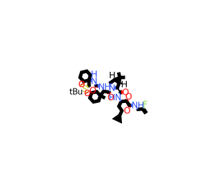 C=C(F)CNC(=O)C(=O)C(CCC1CC1)NC(=O)[C@@H]1[C@@H]2[C@H](CN1C(=O)[C@@H](NC(=O)NC1(CS(=O)(=O)C(C)(C)C)CCCCC1)C1(C)CCCCC1)C2(C)C